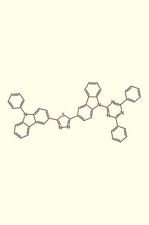 c1ccc(-c2nc(-c3ccccc3)nc(-n3c4ccccc4c4cc(-c5nnc(-c6ccc7c(c6)c6ccccc6n7-c6ccccc6)s5)ccc43)n2)cc1